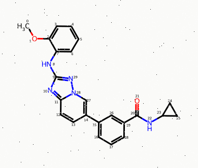 COc1ccccc1Nc1nc2ccc(-c3cccc(C(=O)NC4CC4)c3)cn2n1